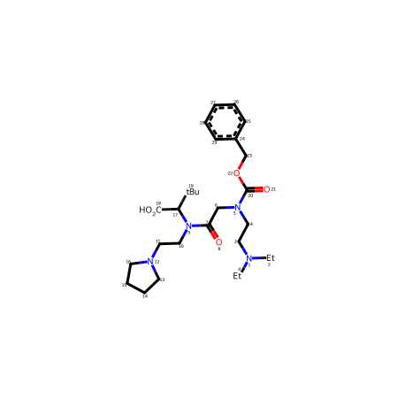 CCN(CC)CCN(CC(=O)N(CCN1CCCC1)C(C(=O)O)C(C)(C)C)C(=O)OCc1ccccc1